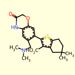 CN(C)Cc1cc2c(cc1-c1sc3c(c1C(=O)O)CC(C)(C)CC3)OCC(=O)N2